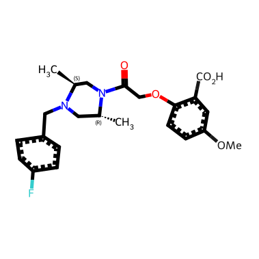 COc1ccc(OCC(=O)N2C[C@H](C)N(Cc3ccc(F)cc3)C[C@H]2C)c(C(=O)O)c1